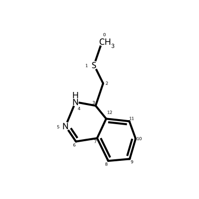 CSCC1NN=Cc2ccccc21